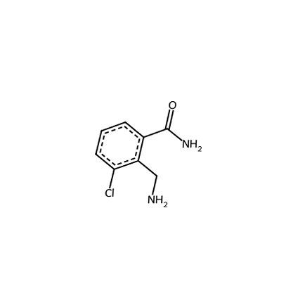 NCc1c(Cl)cccc1C(N)=O